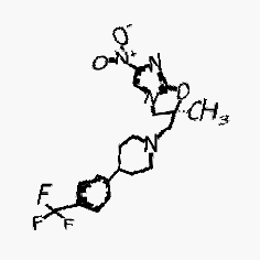 C[C@]1(CN2CCC(c3ccc(C(F)(F)F)cc3)CC2)Cn2cc([N+](=O)[O-])nc2O1